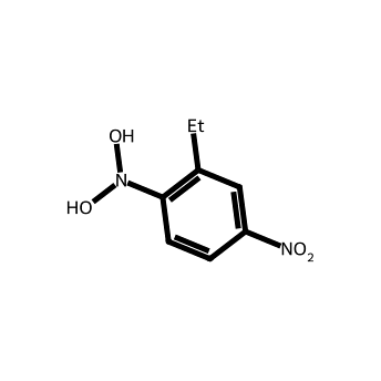 CCc1cc([N+](=O)[O-])ccc1N(O)O